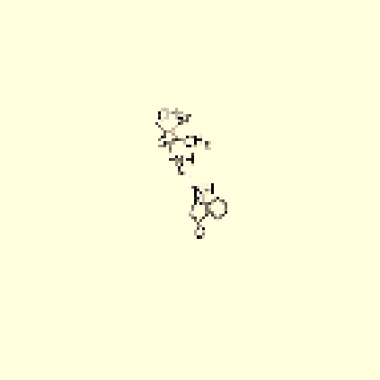 C=Cc1sc(CNCCCNn2ccc(=O)c3ccccc32)c(C)c1Br